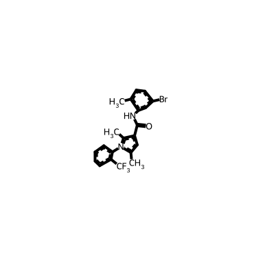 Cc1ccc(Br)cc1NC(=O)c1cc(C)n(-c2ccccc2C(F)(F)F)c1C